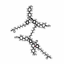 C=CC(=O)OCCCCCCOc1ccc(C(=O)OC2(C#Cc3ccc(C4(OCCCCCCCCOC5(c6ccc(C7(OC(=O)c8ccc(OCCCCCCOC(=O)C=C)cc8)CCC(C8CCC(CCC)CC8)CC7)cc6)CCC(C6CCC(CCC)CC6)CC5)CCC(C5CCC(CCC)CC5)CC4)cc3)CCC(C3CCC(CCC)CC3)CC2)cc1